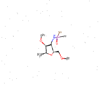 B[C@@H]1O[C@H](COC(C)C)C(NP(=O)(S)C(C)C)[C@@H]1OCCC